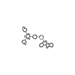 C1=CC(c2nc3c(nc4ccccn43)c3ccccc23)CC(c2ccc(-c3nc(-c4ccncc4)nc(-c4cccnc4)n3)cc2)=C1